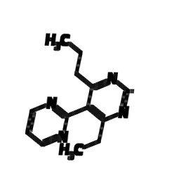 CCCc1n[c]nc(CC)c1-c1ncccn1